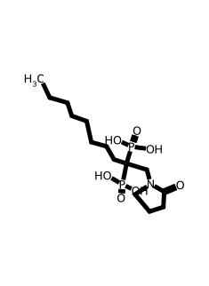 CCCCCCCCC(CN1CCCC1=O)(P(=O)(O)O)P(=O)(O)O